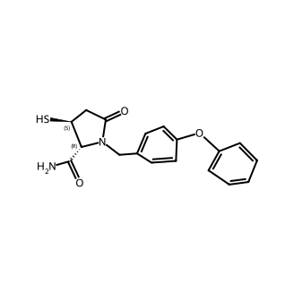 NC(=O)[C@@H]1[C@@H](S)CC(=O)N1Cc1ccc(Oc2ccccc2)cc1